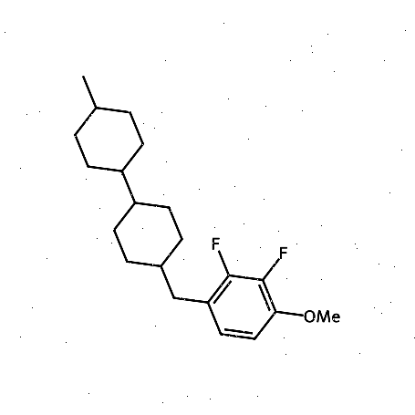 COc1ccc(CC2CCC(C3CCC(C)CC3)CC2)c(F)c1F